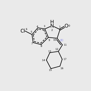 O=C1Nc2cc(Cl)ccc2/C1=C\C1CCCCC1